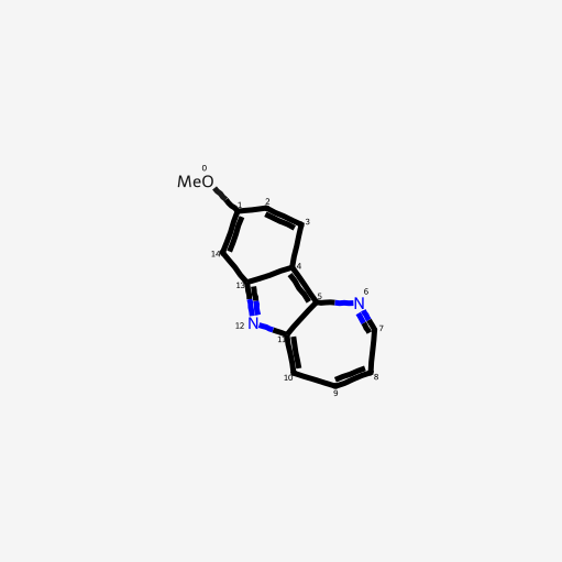 COc1ccc2c3nccccc-3nc2c1